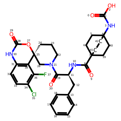 O=C(O)NC12CCC(C(=O)N[C@@H](Cc3ccccc3)C(=O)N3CCC[C@@]4(C3)OC(=O)Nc3ccc(Cl)c(F)c34)(CC1)CC2